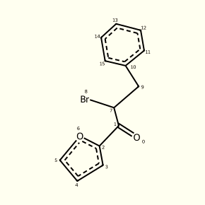 O=C(c1ccco1)C(Br)Cc1ccccc1